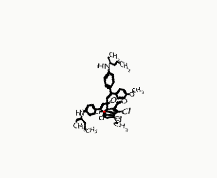 CCCC(CC)Nc1ccc(/C(=C/C2(/C=C(/c3ccc(NC(CC)CCC)cc3)c3ccc(OC)cc3)OC(=O)c3c(Cl)c(Cl)c(Cl)c(Cl)c32)c2ccc(OC)cc2)cc1